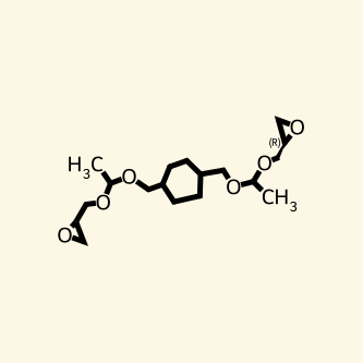 CC(OCC1CCC(COC(C)OC[C@H]2CO2)CC1)OCC1CO1